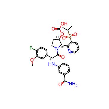 COc1cc([C@@H](Nc2cccc(C(N)=O)c2)C(=O)N2CC[C@@H](OC(=O)O)[C@H]2c2ncccc2S(=O)(=O)C(C)C)ccc1F